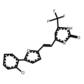 O=c1nc(C=Cc2ccc(-c3ccccc3Cl)o2)cc(C(F)(F)F)[nH]1